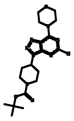 CC(C)(C)OC(=O)N1CCC(n2nnc3c(N4CCOCC4)nc(Cl)nc32)CC1